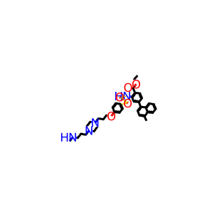 CCOC(=O)c1ccc(-c2ccc(C)c3ccccc23)cc1NS(=O)(=O)c1ccc(OCCCN2CCN(CCCNC)CC2)cc1